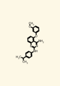 COc1cccc(Oc2cccc3nc(Nc4ccc(C(C)C)cc4)nc(N)c23)c1